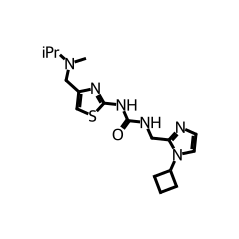 CC(C)N(C)Cc1csc(NC(=O)NCc2nccn2C2CCC2)n1